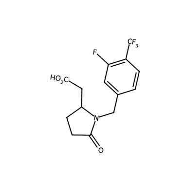 O=C(O)CC1CCC(=O)N1Cc1ccc(C(F)(F)F)c(F)c1